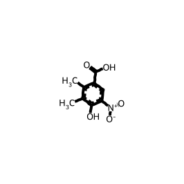 Cc1c(C(=O)O)cc([N+](=O)[O-])c(O)c1C